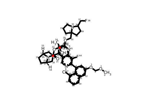 COCOc1cc(-c2ncc3c(N4C[C@H]5CC[C@@H](C4)N5C(=O)OC(C)(C)C)nc(OCC45CCCN4C(CF)CC5)nc3c2F)c2c(Cl)cccc2c1